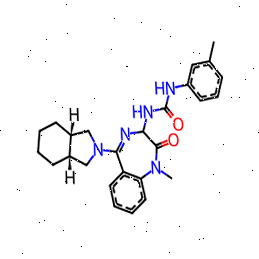 Cc1cccc(NC(=O)NC2N=C(N3C[C@H]4CCCC[C@H]4C3)c3ccccc3N(C)C2=O)c1